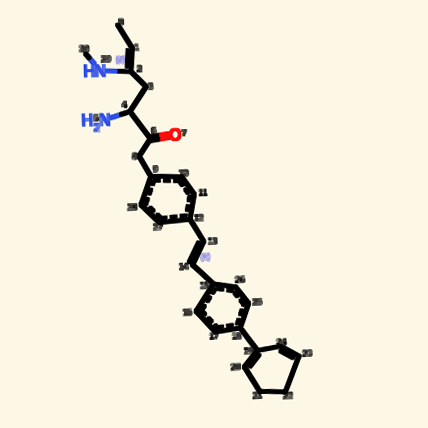 C/C=C(/CC(N)C(=O)Cc1ccc(/C=C/c2ccc(C3=CCCC=C3)cc2)cc1)NC